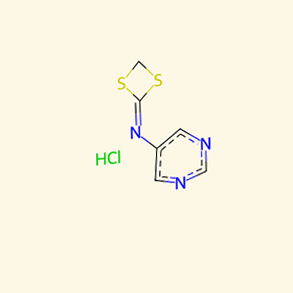 Cl.c1ncc(N=C2SCS2)cn1